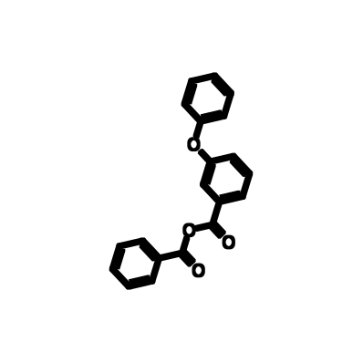 O=C(OC(=O)c1cccc(Oc2ccccc2)c1)c1ccccc1